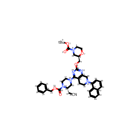 CC(C)(C)OC(=O)N1CCO[C@@H](COc2nc3c(c(N4CCN(C(=O)OCc5ccccc5)[C@@H](CC#N)C4)n2)CCN(c2cccc4ccccc24)C3)C1